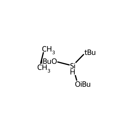 CC.CC(C)CO[SiH](OCC(C)C)C(C)(C)C